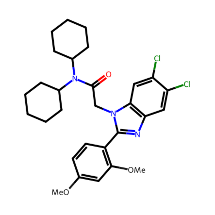 COc1ccc(-c2nc3cc(Cl)c(Cl)cc3n2CC(=O)N(C2CCCCC2)C2CCCCC2)c(OC)c1